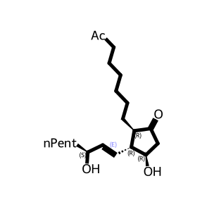 CCCCC[C@H](O)/C=C/[C@H]1[C@H](O)CC(=O)[C@@H]1CCCCCCC(C)=O